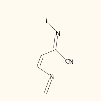 C=N/C=C\C(C#N)=N/I